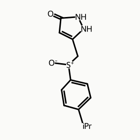 CC(C)c1ccc([S+]([O-])Cc2cc(=O)[nH][nH]2)cc1